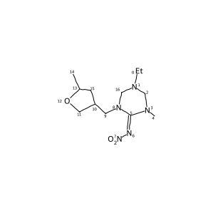 CCN1CN(C)C(=N[N+](=O)[O-])N(CC2COC(C)C2)C1